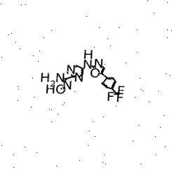 N/C(=N\O)c1ncc(Nc2ncc(-c3ccc(C(F)(F)F)cc3)o2)cn1